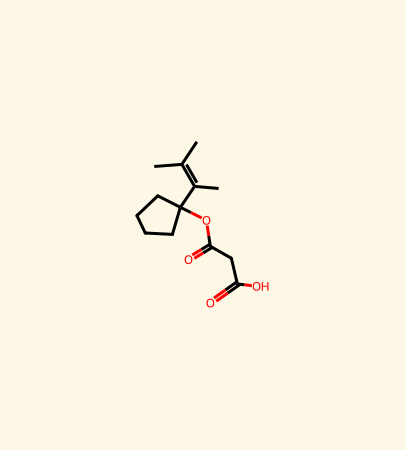 CC(C)=C(C)C1(OC(=O)CC(=O)O)CCCC1